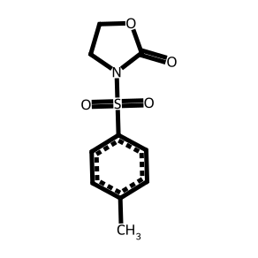 Cc1ccc(S(=O)(=O)N2CCOC2=O)cc1